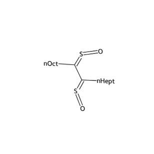 CCCCCCCCC(=S=O)C(CCCCCCC)=S=O